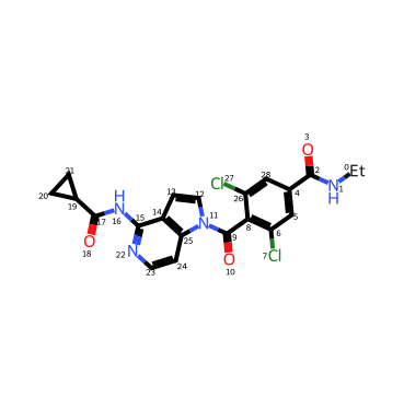 CCNC(=O)c1cc(Cl)c(C(=O)n2ccc3c(NC(=O)C4CC4)nccc32)c(Cl)c1